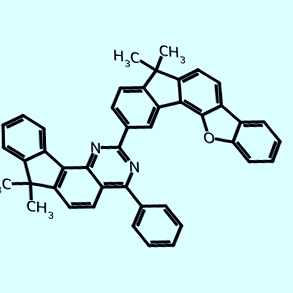 CC1(C)c2ccccc2-c2c1ccc1c(-c3ccccc3)nc(-c3ccc4c(c3)-c3c(ccc5c3oc3ccccc35)C4(C)C)nc21